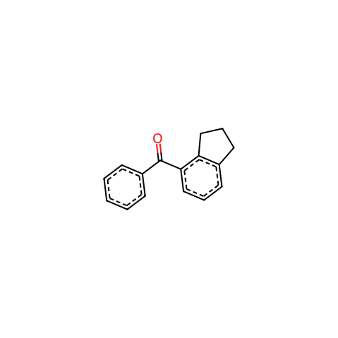 O=C(c1ccccc1)c1cccc2c1CCC2